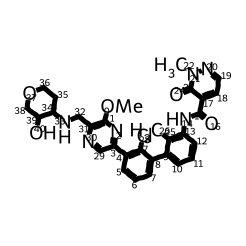 COc1nc(-c2cccc(-c3cccc(NC(=O)c4ccnn(C)c4=O)c3C)c2Cl)cnc1CNC1CCOCC1O